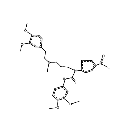 COc1ccc(CCN(C)CCCN(C(=O)Nc2ccc(OC)c(OC)c2)c2ccc([N+](=O)[O-])cc2)cc1OC